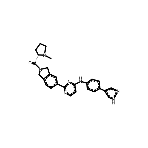 CN1CCC[C@H]1C(=O)N1Cc2ccc(-c3nccc(Nc4ccc(-c5cn[nH]c5)cc4)n3)cc2C1